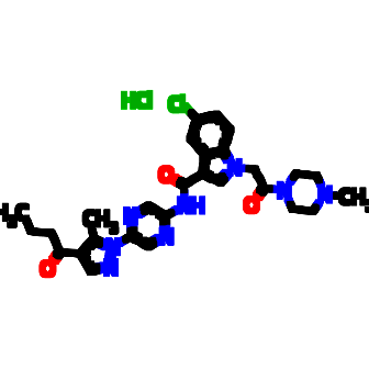 CCCC(=O)c1cnn(-c2cnc(NC(=O)c3cn(CC(=O)N4CCN(C)CC4)c4ccc(Cl)cc34)cn2)c1C.Cl